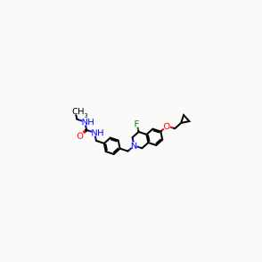 CCNC(=O)NCc1ccc(CN2Cc3ccc(OCC4CC4)cc3C(F)C2)cc1